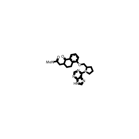 CNC(=O)CC1CCc2c(OCC3CCCN3c3ncnc4[nH]cnc34)cccc2C1=O